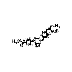 CCC1=Cc2ncc(CN3CCN(c4ccc(C(=O)NC)nc4)C4CCC43)cc2NC1=C=O